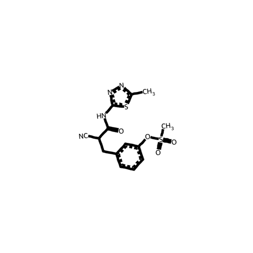 Cc1nnc(NC(=O)C(C#N)Cc2cccc(OS(C)(=O)=O)c2)s1